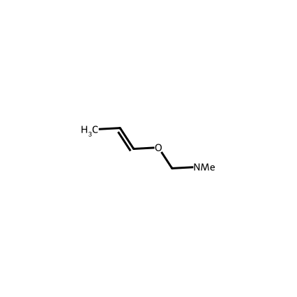 CC=COCNC